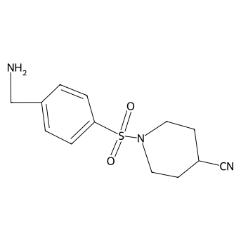 N#CC1CCN(S(=O)(=O)c2ccc(CN)cc2)CC1